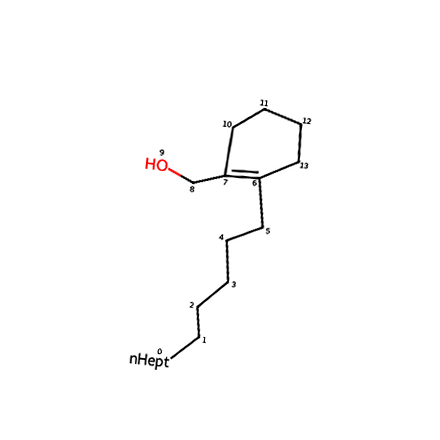 CCCCCCCCCCCCC1=C(CO)CCCC1